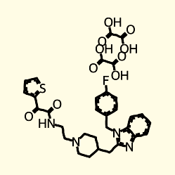 O=C(NCCN1CCC(Cc2nc3ccccc3n2Cc2ccc(F)cc2)CC1)C(=O)c1cccs1.O=C(O)C(=O)O.O=C(O)C(=O)O